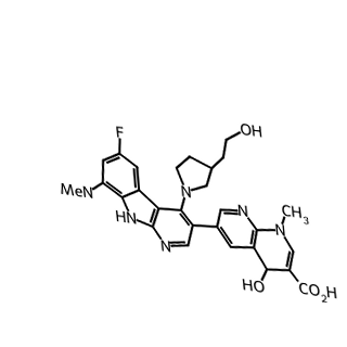 CNc1cc(F)cc2c1[nH]c1ncc(-c3cnc4c(c3)C(O)C(C(=O)O)=CN4C)c(N3CCC(CCO)C3)c12